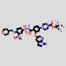 CC(C)(C)OC(=O)N1CCN(c2ccc(C(=O)NS(=O)(=O)c3ccc(NCC4CCOCC4)c([N+](=O)[O-])c3)c(Oc3cnc4[nH]ccc4c3)c2)CC1